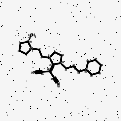 C[C@H]1CCCN1CCN1CCN(CCCN2CCCCC2)C1=C(C#N)C#N